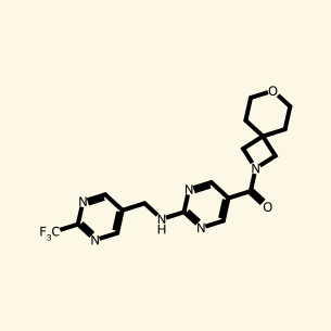 O=C(c1cnc(NCc2cnc(C(F)(F)F)nc2)nc1)N1CC2(CCOCC2)C1